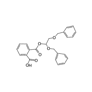 O=C(O)c1ccccc1C(=O)OC(COCc1ccccc1)OCc1ccccc1